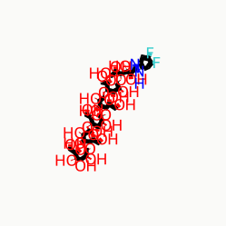 OCC1O[C@H](O[C@@H]2C(CO)O[C@H](O[C@@H]3C(CO)O[C@H](O[C@@H]4C(CO)O[C@H](O[C@@H]5C(CO)O[C@H](O[C@H](C(O)CO)[C@H](O)C(O)c6nc7cc(F)c(F)cc7[nH]6)[C@@H](O)C5O)[C@@H](O)C4O)[C@@H](O)C3O)[C@@H](O)C2O)[C@@H](O)C(O)[C@@H]1O